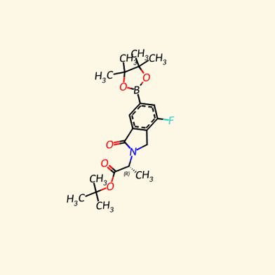 C[C@H](C(=O)OC(C)(C)C)N1Cc2c(F)cc(B3OC(C)(C)C(C)(C)O3)cc2C1=O